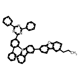 CCCc1ccc2oc3cc(-c4ccc5c(c4)c4ccccc4n5-c4cc(-c5nc(-c6ccccc6)nc(-c6ccccc6)n5)ccc4-c4ccccc4)ccc3c2c1